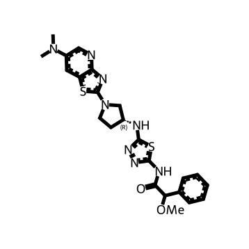 COC(C(=O)Nc1nnc(N[C@@H]2CCN(c3nc4ncc(N(C)C)cc4s3)C2)s1)c1ccccc1